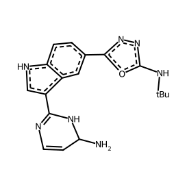 CC(C)(C)Nc1nnc(-c2ccc3[nH]cc(C4=NC=CC(N)N4)c3c2)o1